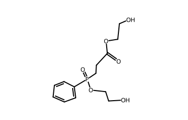 O=C(CCP(=O)(OCCO)c1ccccc1)OCCO